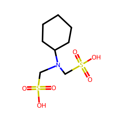 O=S(=O)(O)CN(CS(=O)(=O)O)C1CCCCC1